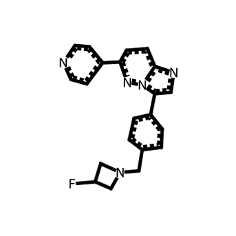 FC1CN(Cc2ccc(-c3cnc4ccc(-c5ccncc5)nn34)cc2)C1